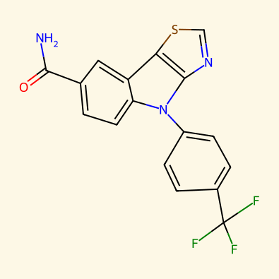 NC(=O)c1ccc2c(c1)c1scnc1n2-c1ccc(C(F)(F)F)cc1